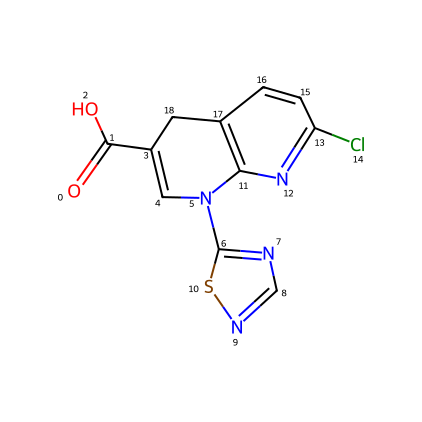 O=C(O)C1=CN(c2ncns2)c2nc(Cl)ccc2C1